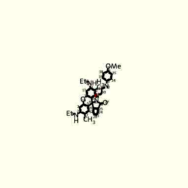 CCNc1cc2c(cc1C)C1(c3cc(C)c(NCC)cc3O2)c2ccccc2C(=O)N1/N=C/C=N/c1ccc(OC)cc1